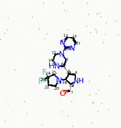 O=C[C@H]1NC[C@@H](C2CN(c3ncccn3)CCN2)C1N1CCC(F)(F)C1